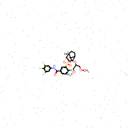 COCC(COC)OC[C@@]1(O)C2CC[C@H]1C[C@H](S(=O)(=O)c1cc(C(=O)Nc3cc(F)c(F)c(F)c3)ccc1Cl)C2